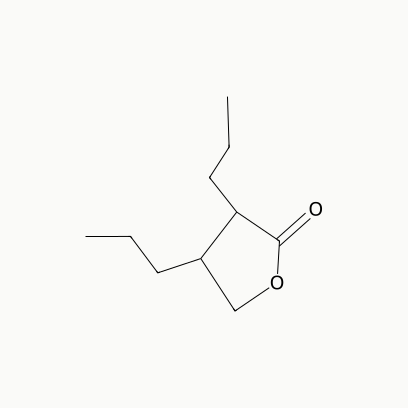 CCCC1COC(=O)C1CCC